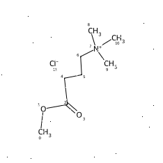 COC(=O)CCC[N+](C)(C)C.[Cl-]